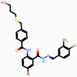 O=C(Nc1ccc(Br)cc1C(=O)NN=Cc1ccc(Cl)c(C(F)(F)F)c1)c1ccc(CSCCCO)cc1